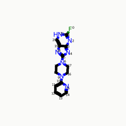 Fc1nc2nc(N3CCN(c4ccccn4)CC3)nc-2c[nH]1